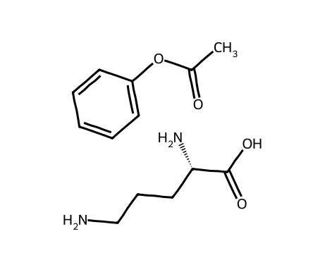 CC(=O)Oc1ccccc1.NCCC[C@H](N)C(=O)O